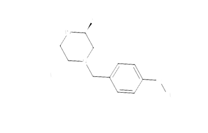 C[C@@H]1CN[C@@H](C)CN1Cc1ccc(OC(F)(F)F)cc1